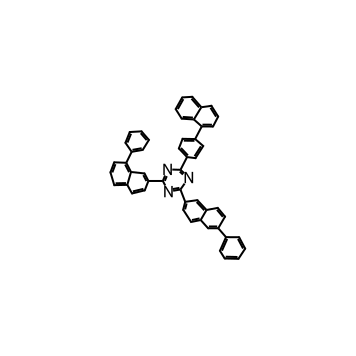 c1ccc(-c2ccc3cc(-c4nc(-c5ccc(-c6cccc7ccccc67)cc5)nc(-c5ccc6cccc(-c7ccccc7)c6c5)n4)ccc3c2)cc1